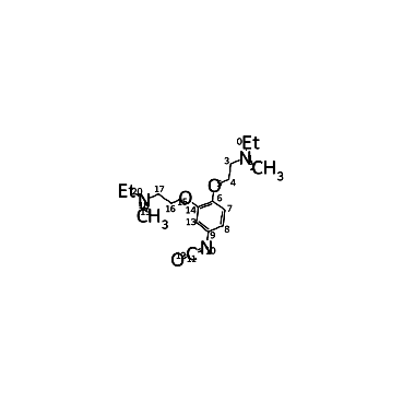 CCN(C)CCOc1ccc(N=C=O)cc1OCCN(C)CC